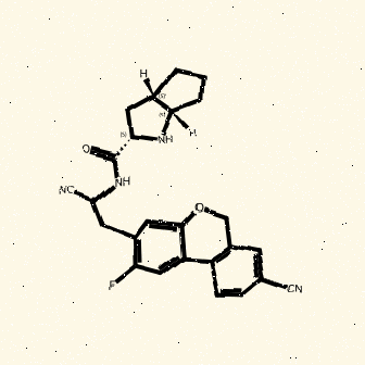 N#Cc1ccc2c(c1)COc1cc(CC(C#N)NC(=O)[C@@H]3C[C@@H]4CCC[C@@H]4N3)c(F)cc1-2